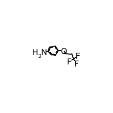 Nc1ccc(OCCC(F)(F)F)cc1